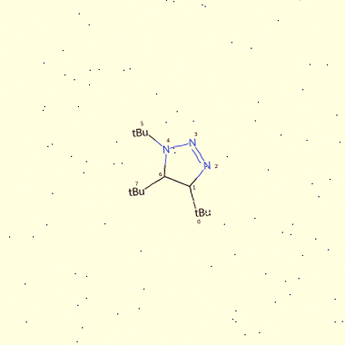 CC(C)(C)C1N=NN(C(C)(C)C)C1C(C)(C)C